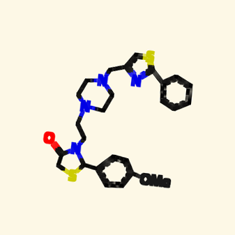 COc1ccc(C2SCC(=O)N2CCN2CCN(Cc3csc(-c4ccccc4)n3)CC2)cc1